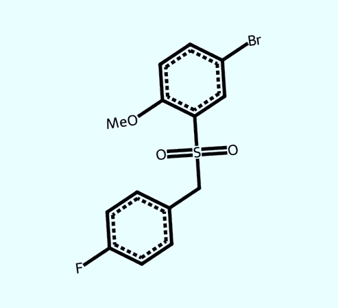 COc1ccc(Br)cc1S(=O)(=O)Cc1ccc(F)cc1